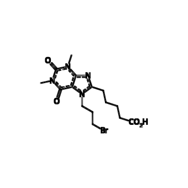 Cn1c(=O)c2c(nc(CCCCC(=O)O)n2CCCBr)n(C)c1=O